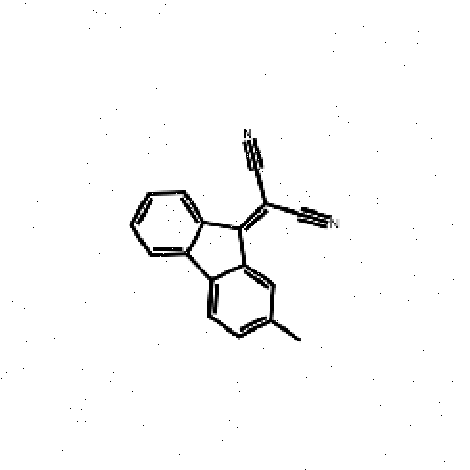 Cc1ccc2c(c1)C(=C(C#N)C#N)c1ccccc1-2